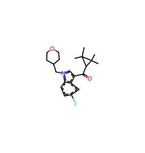 CC1(C)C(C(=O)c2cn(CC3CCOCC3)c3ccc(F)cc23)C1(C)C